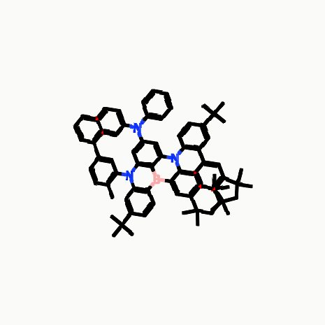 Cc1ccc(-c2ccccc2)cc1N1c2cc(C(C)(C)C)ccc2B2c3cc4c(cc3N(c3ccc(C(C)(C)C)cc3-c3ccc5c(c3)C(C)(C)CC5(C)C)c3cc(N(c5ccccc5)c5ccccc5)cc1c32)C(C)(C)CCC4(C)C